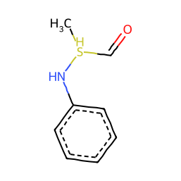 C[SH](C=O)Nc1ccccc1